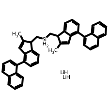 CC1=Cc2c(-c3cccc4ccccc34)cccc2C1C[SiH2]CC1C(C)=Cc2c(-c3cccc4ccccc34)cccc21.[LiH].[LiH]